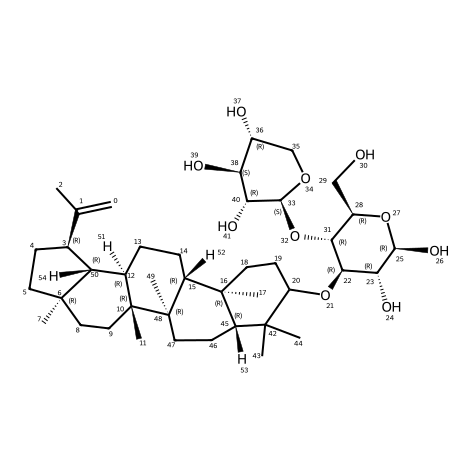 C=C(C)[C@@H]1CC[C@]2(C)CC[C@]3(C)[C@H](CC[C@@H]4[C@@]5(C)CCC(O[C@@H]6[C@@H](O)[C@H](O)O[C@H](CO)[C@H]6O[C@@H]6OC[C@@H](O)[C@H](O)[C@H]6O)C(C)(C)[C@@H]5CC[C@]43C)[C@@H]12